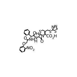 O=C(COc1ccccc1[N+](=O)[O-])N[C@H](C(=O)NC1C(=O)N2C(C(=O)O)=C(CSc3nncs3)CS[C@@H]12)c1ccccc1